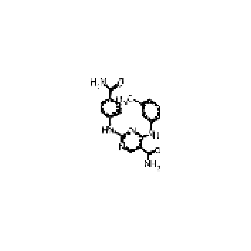 Cc1cccc(Nc2nc(Nc3ccc(C(N)=O)cc3)ncc2C(N)=O)c1